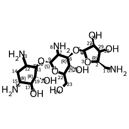 NC[C@H]1O[C@@H](O[C@@H]2C(N)[C@@H](O[C@@H]3C(N)C[C@@H](N)C(O)[C@H]3O)OC(CO)[C@H]2O)[C@@H](O)C1O